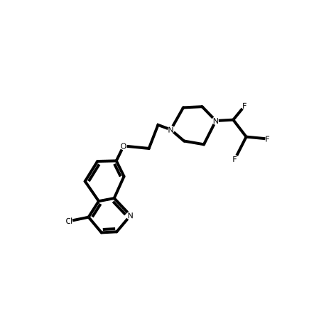 FC(F)C(F)N1CCN(CCOc2ccc3c(Cl)ccnc3c2)CC1